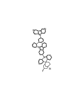 I[C@H]1CC2C[C@@H](CCC23c2ccccc2N(c2ccc4c(c2)c2ccccc2n4-c2ccccc2-c2cccc(-n4c5ccncc5c5cnccc54)c2)c2ccccc23)C1